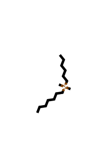 CCCCCCCS(C)(C)CCCCCC